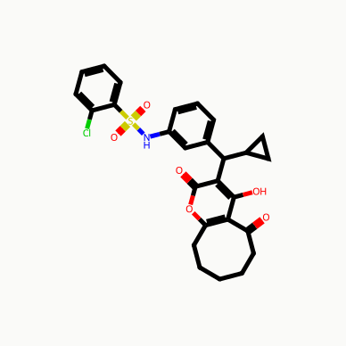 O=C1CCCCCc2oc(=O)c(C(c3cccc(NS(=O)(=O)c4ccccc4Cl)c3)C3CC3)c(O)c21